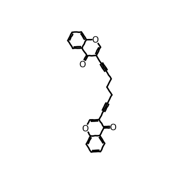 O=c1c(C#CCCCC#Cc2coc3ccccc3c2=O)coc2ccccc12